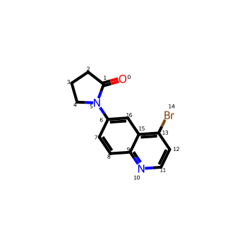 O=C1CCCN1c1ccc2nccc(Br)c2c1